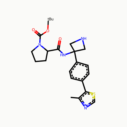 Cc1ncsc1-c1ccc(C2(NC(=O)C3CCCN3C(=O)OC(C)(C)C)CNC2)cc1